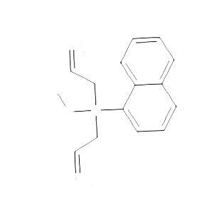 C=CC[Si](CC=C)(OCC)c1cccc2ccccc12